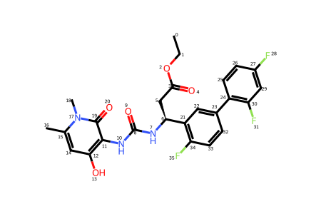 CCOC(=O)C[C@H](NC(=O)Nc1c(O)cc(C)n(C)c1=O)c1cc(-c2ccc(F)cc2F)ccc1F